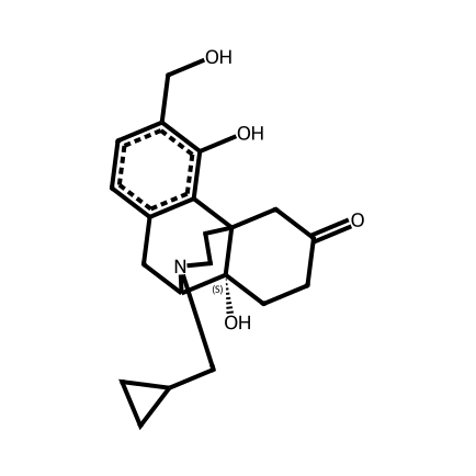 O=C1CC[C@@]2(O)C3Cc4ccc(CO)c(O)c4C2(CCN3CC2CC2)C1